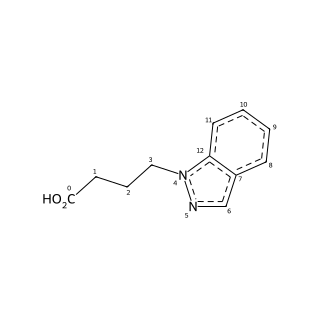 O=C(O)CCCn1ncc2ccccc21